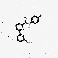 O=C(Nc1ccc(F)cc1)c1cccc(-c2cccc(C(F)(F)F)c2)n1